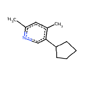 Cc1[c]c(C)c(C2CCCC2)cn1